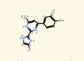 FC(F)(F)c1cc(-c2ccc(Cl)c(Cl)c2)nc(-c2nc(I)c[nH]2)n1